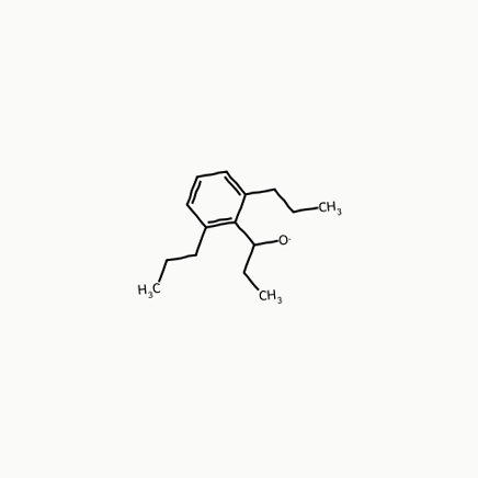 CCCc1cccc(CCC)c1C([O])CC